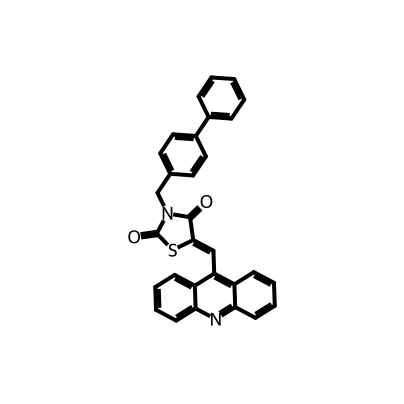 O=C1S/C(=C\c2c3ccccc3nc3ccccc23)C(=O)N1Cc1ccc(-c2ccccc2)cc1